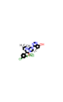 C[C@@H]1C[C@@H](O)c2ncnc(N3CCN(C(=O)[C@@H](c4ccc(Cl)cc4F)[C@@H]4CCC(C)(C)N4)CC3)c21.Cl.Cl